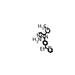 CCC(c1ccc(-c2nc(C3CCCN(C)C3)c3ccnc(N)n23)cc1)c1ccccn1